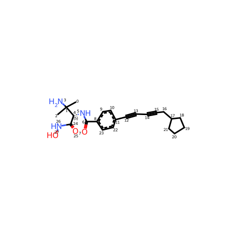 CC(C)(N)[C@H](NC(=O)c1ccc(C#CC#CCC2CCCC2)cc1)C(=O)NO